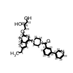 CCc1cc2c(N3CCN(C(=O)c4cccc(-c5cccnc5)c4)CC3)nc(OC[C@H](O)CO)nc2s1